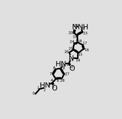 CCCNC(=O)c1ccc(NC(=O)N2Cc3ccc(-c4cn[nH]c4)cc3C2)cc1